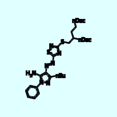 CCCCCCCCCCCCC(CCCCCCCCCC)CSc1nsc(N=Nc2c(CCCC)nn(-c3ccccc3)c2N)n1